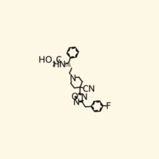 N#CC1(c2nc(Cc3ccc(F)cc3)no2)CCN(CC[C@H](NC(=O)O)c2ccccc2)CC1